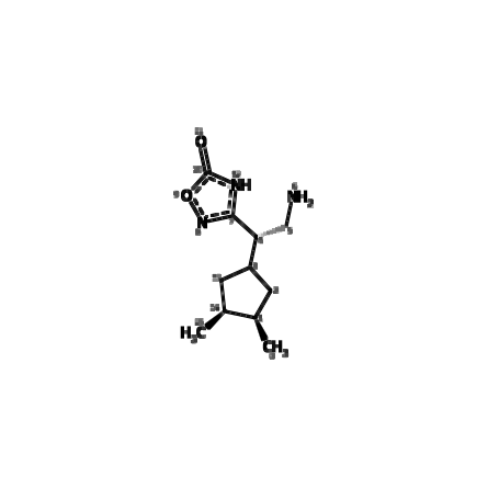 C[C@@H]1CC([C@@H](CN)c2noc(=O)[nH]2)C[C@@H]1C